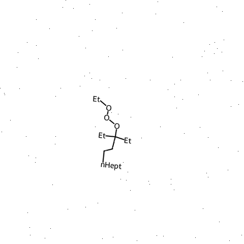 CCCCCCCCCC(CC)(CC)OOOCC